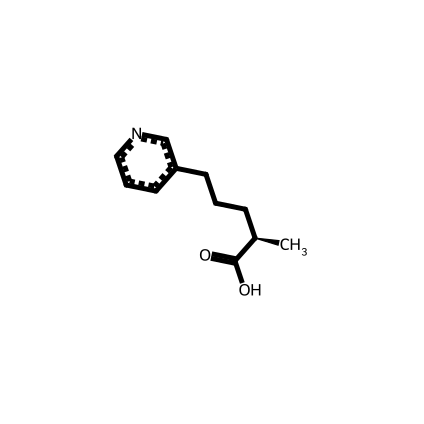 C[C@H](CCCc1cccnc1)C(=O)O